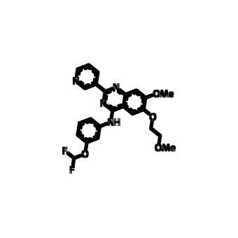 COCCOc1cc2c(Nc3cccc(OC(F)F)c3)nc(-c3cccnc3)nc2cc1OC